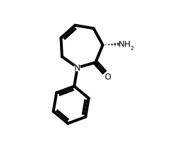 N[C@H]1CC=CCN(c2ccccc2)C1=O